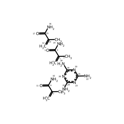 C=C(C)C(N)=O.C=C(C)C(N)=O.C=C(C)C(N)=O.Nc1nc(N)nc(N)n1